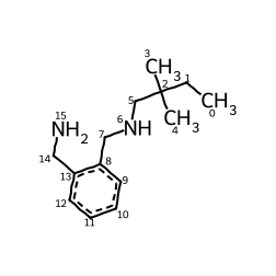 CCC(C)(C)CNCc1ccccc1CN